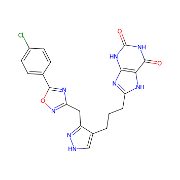 O=c1[nH]c(=O)c2[nH]c(CCCc3c[nH]nc3Cc3noc(-c4ccc(Cl)cc4)n3)nc2[nH]1